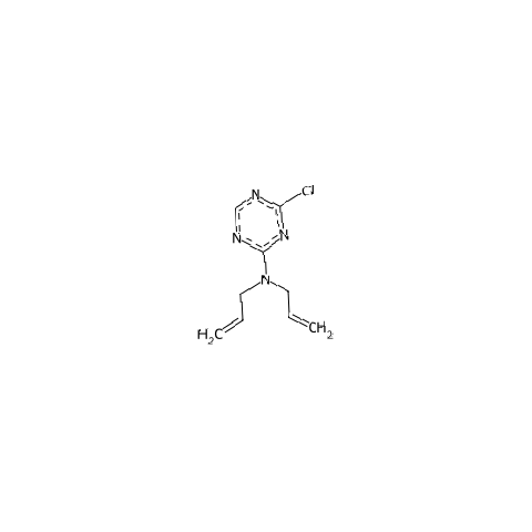 C=CCN(CC=C)c1ncnc(Cl)n1